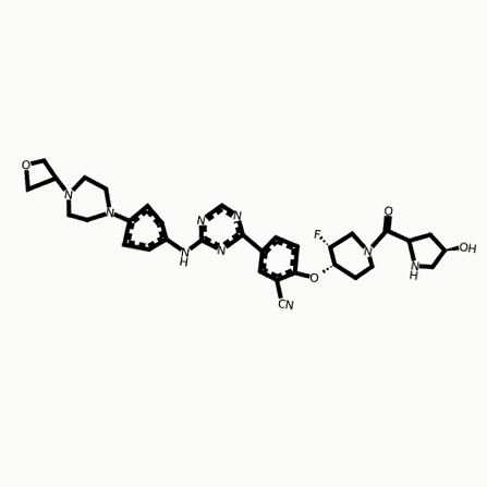 N#Cc1cc(-c2ncnc(Nc3ccc(N4CCN(C5COC5)CC4)cc3)n2)ccc1O[C@H]1CCN(C(=O)C2C[C@@H](O)CN2)C[C@H]1F